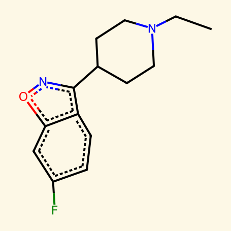 CCN1CCC(c2noc3cc(F)ccc23)CC1